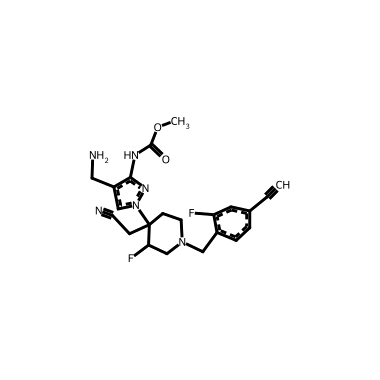 C#Cc1ccc(CN2CCC(CC#N)(n3cc(CN)c(NC(=O)OC)n3)C(F)C2)c(F)c1